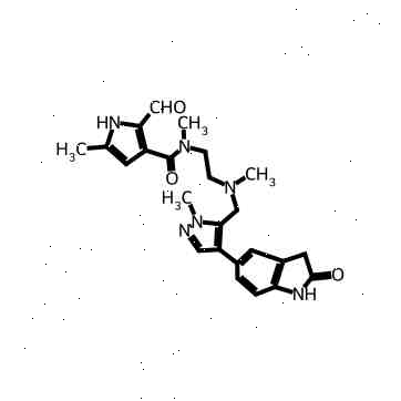 Cc1cc(C(=O)N(C)CCN(C)Cc2c(-c3ccc4c(c3)CC(=O)N4)cnn2C)c(C=O)[nH]1